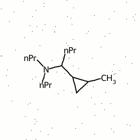 CCCC(C1CC1C)N(CCC)CCC